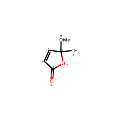 COC1(C)C=CC(=O)O1